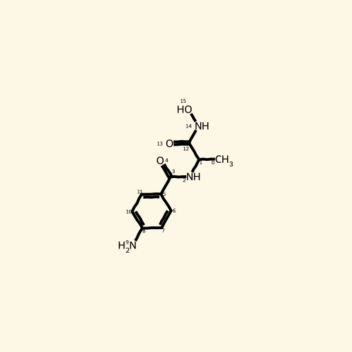 CC(NC(=O)c1ccc(N)cc1)C(=O)NO